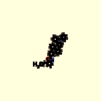 CCCc1cccc2nc(-c3ccc(-c4ccccc4-c4ccccc4-c4ccc5c(c4)c4ccccc4n5-c4ccccc4)cc3)oc12